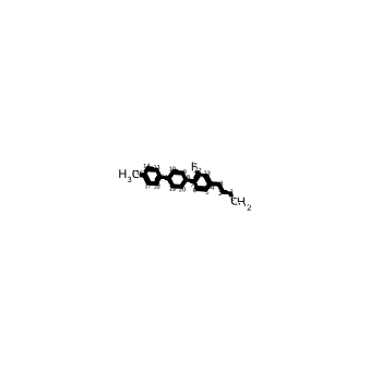 C=CCCc1ccc(C2C=CC(c3ccc(C)cc3)CC2)c(F)c1